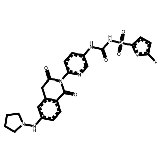 O=C(Nc1ccc(N2C(=O)Cc3cc(NN4CCCC4)ccc3C2=O)nc1)NS(=O)(=O)c1ccc(F)s1